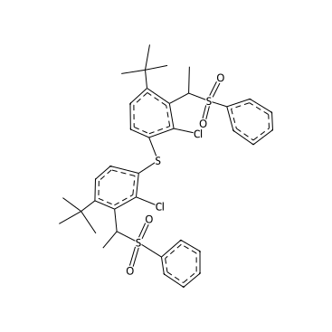 CC(c1c(C(C)(C)C)ccc(Sc2ccc(C(C)(C)C)c(C(C)S(=O)(=O)c3ccccc3)c2Cl)c1Cl)S(=O)(=O)c1ccccc1